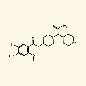 COc1cc(N)c(Br)cc1C(=O)NC1CCN(C(C(N)=O)C2CCNCC2)CC1